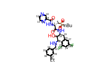 CCCCS(=O)(=O)C[C@@H](NC(=O)c1cnccn1)C(=O)N[C@@H](Cc1cc(F)cc(F)c1)[C@H](O)CNCc1cccc(CC)c1